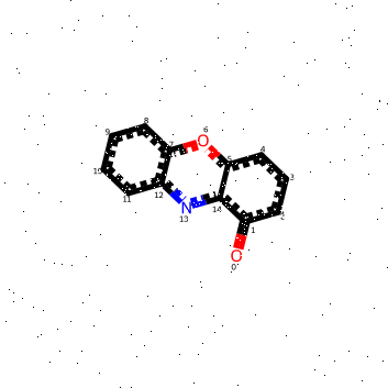 O=c1[c]ccc2oc3ccccc3nc1-2